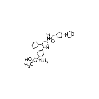 C[C@]1(O)C[C@@](N)(c2ccc(-c3ncc(NC(=O)C[C@H]4CC[C@H](N5CCOCC5)CC4)cc3-c3ccccc3)cc2)C1